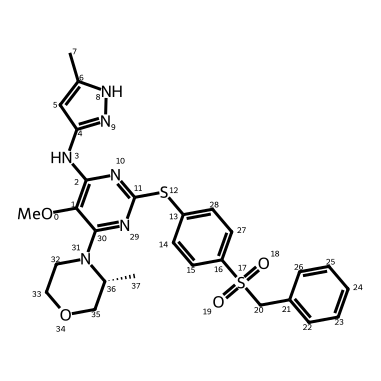 COc1c(Nc2cc(C)[nH]n2)nc(Sc2ccc(S(=O)(=O)Cc3ccccc3)cc2)nc1N1CCOC[C@H]1C